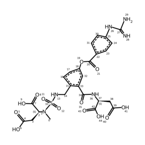 CN([C@@H](CC(=O)O)C(=O)O)S(=O)(=O)NCc1ccc(OC(=O)c2ccc(NC(=N)N)cc2)cc1C(=O)N[C@@H](CC(=O)O)C(=O)O